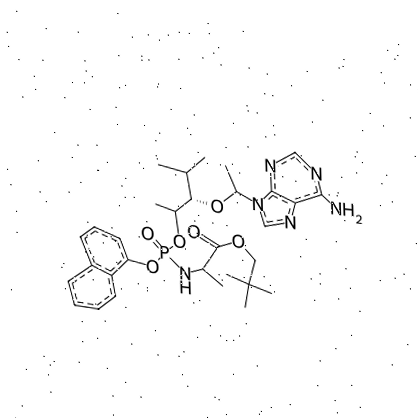 CC(NP(=O)(Oc1cccc2ccccc12)OC(C)[C@@H](OC(C)n1cnc2c(N)ncnc21)C(C)C)C(=O)OCC(C)(C)C